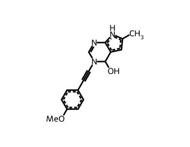 COc1ccc(C#CN2C=Nc3[nH]c(C)cc3C2O)cc1